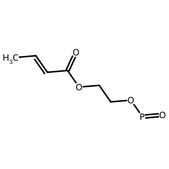 CC=CC(=O)OCCOP=O